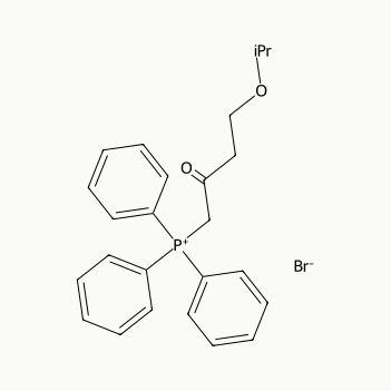 CC(C)OCCC(=O)C[P+](c1ccccc1)(c1ccccc1)c1ccccc1.[Br-]